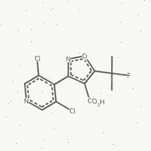 CC(C)(F)c1onc(-c2c(Cl)cncc2Cl)c1C(=O)O